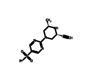 C#C[C@@H]1CN(c2ncc(S(=O)(=O)C(C)C)cn2)C[C@H](C)N1